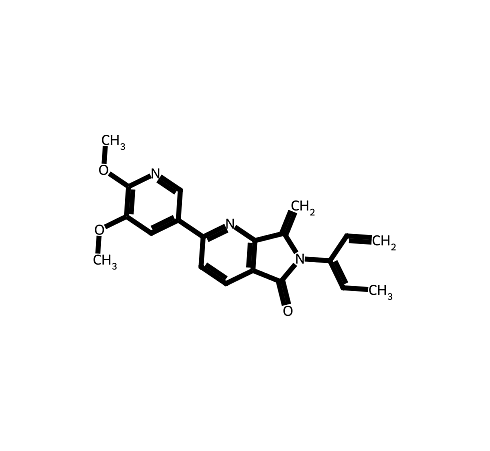 C=C/C(=C\C)N1C(=C)c2nc(-c3cnc(OC)c(OC)c3)ccc2C1=O